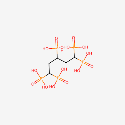 O=P(O)(O)C(CC(P(=O)(O)O)P(=O)(O)O)CC(P(=O)(O)O)P(=O)(O)O